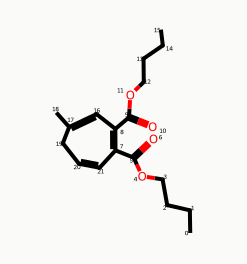 CCCCOC(=O)C1=C(C(=O)OCCCC)C=C(C)CC=C1